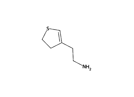 NCCC1=CSCC1